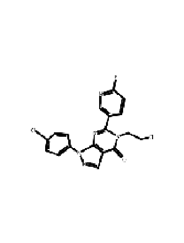 O=c1c2cnn(-c3ccc(Cl)cc3)c2nc(-c2ccc(F)nc2)n1CCCl